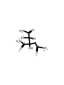 CCC(CC)(C(N)=O)C(O)(CC(N)=O)C(N)=O